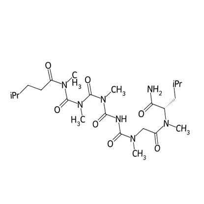 CC(C)CCC(=O)N(C)C(=O)N(C)C(=O)N(C)C(=O)NC(=O)N(C)CC(=O)N(C)[C@@H](CC(C)C)C(N)=O